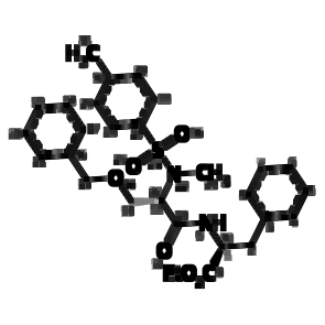 CCOC(=O)[C@H](Cc1ccccc1)NC(=O)[C@H](COCc1ccccc1)N(C)S(=O)(=O)c1ccc(C)cc1